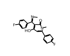 CN=C(c1ccc(F)cc1)c1c(O)cc(-c2ccc(F)cc2)n(C)c1=O